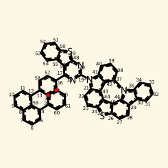 c1ccc(-c2cccc3cccc(-c4ccc(-c5nc(-n6c7ccc8sc9ccc%10c%11ccccc%11n%11c%12cccc6c%12c7c8c9c%10%11)nc6sc7ccccc7c56)cc4)c23)cc1